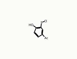 CC(=O)c1ccc(O)c(SCl)c1